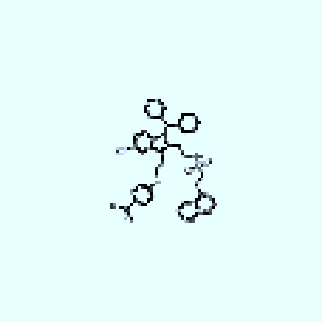 O=C(O)c1ccc(OCCc2c(CCNS(=O)(=O)CCc3cccc4ccccc34)n(C(c3ccccc3)c3ccccc3)c3ccc(Cl)cc23)cc1